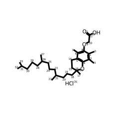 Cc1c(C)c2c(c(C)c1OCC(=O)O)CCC(C)(CCCC(C)CCCC(C)CCCC(C)C)O2.Cl